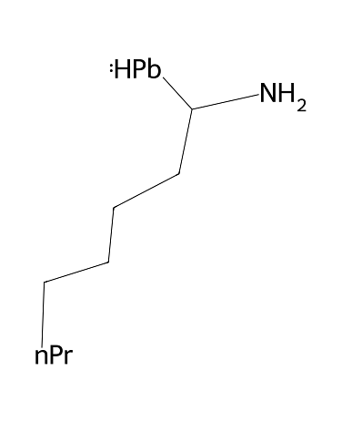 CCCCCCC[CH](N)[PbH]